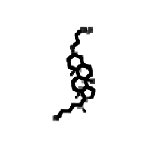 CC(C)CCC[C@@H](C)[C@H]1CCC2[C@@H]3CC=C4C[C@@H](OCCC(=O)O)CC[C@]4(C)C3CC[C@@]21C